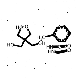 Cc1ccccc1.N=C=O.N=C=O.OCC(CO)(CO)CO